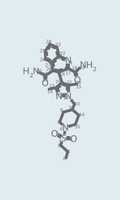 CCCS(=O)(=O)N1CCC(Cn2nc(C)c(-c3c(C(N)=O)nc4ccccc4c3C(N)=O)c2C)CC1